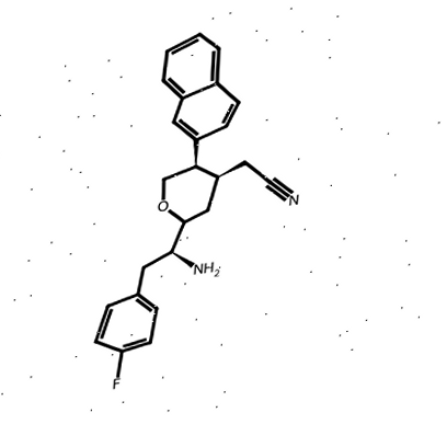 N#CC[C@H]1CC([C@@H](N)Cc2ccc(F)cc2)OC[C@H]1c1ccc2ccccc2c1